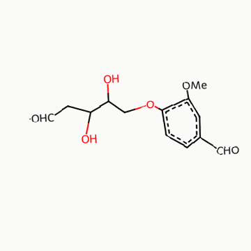 COc1cc(C=O)ccc1OCC(O)C(O)C[C]=O